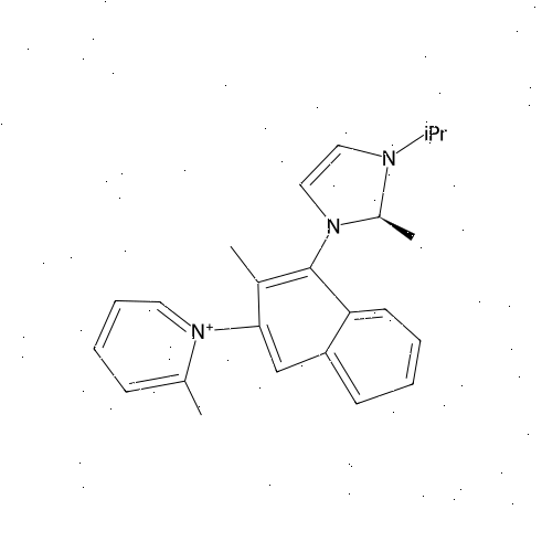 Cc1c(-[n+]2ccccc2C)cc2ccccc2c1N1C=CN(C(C)C)[C@H]1C